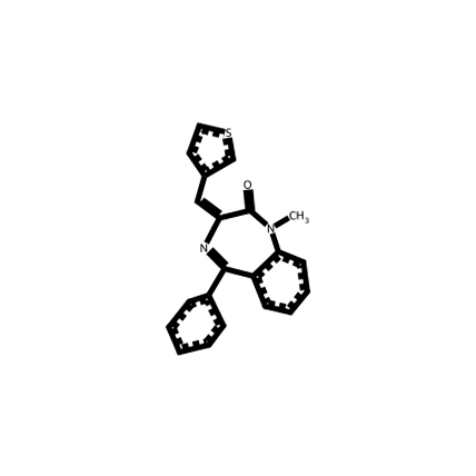 CN1C(=O)C(=Cc2ccsc2)N=C(c2ccccc2)c2ccccc21